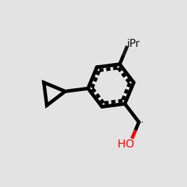 CC(C)c1cc([CH]O)cc(C2CC2)c1